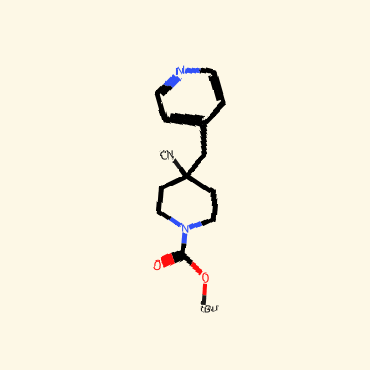 [C-]#[N+]C1(Cc2ccncc2)CCN(C(=O)OC(C)(C)C)CC1